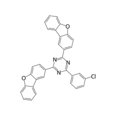 Clc1cccc(-c2nc(-c3ccc4oc5ccccc5c4c3)nc(-c3ccc4oc5ccccc5c4c3)n2)c1